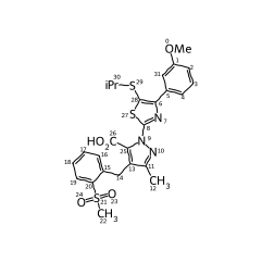 COc1cccc(-c2nc(-n3nc(C)c(Cc4ccccc4S(C)(=O)=O)c3C(=O)O)sc2SC(C)C)c1